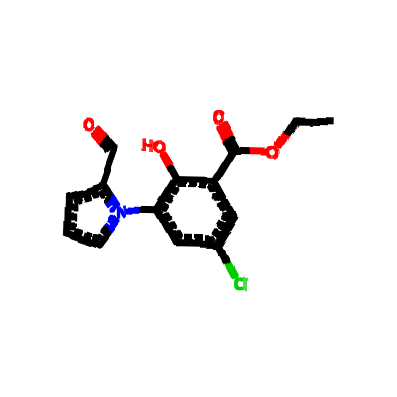 CCOC(=O)c1cc(Cl)cc(-n2cccc2C=O)c1O